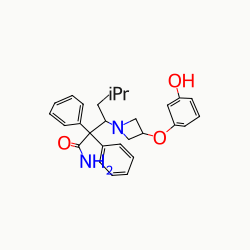 CC(C)CC(N1CC(Oc2cccc(O)c2)C1)C(C(N)=O)(c1ccccc1)c1ccccc1